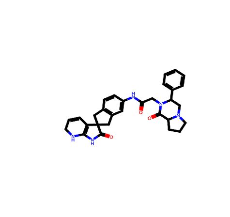 O=C(CN1C(=O)C2CCCN2CC1c1ccccc1)Nc1ccc2c(c1)CC1(C2)C(=O)NC2=C1C=CCN2